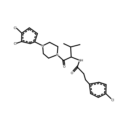 CC(C)C(NC(=O)CCc1ccc(Cl)cc1)C(=O)N1CCN(c2ccc(Cl)c(Cl)c2)CC1